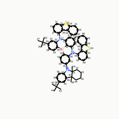 Cc1cc2c3c(c1)N(c1cccc4sc5ccccc5c14)c1cc(C(C)(C)C)ccc1B3c1ccc(N3c4ccc(C(C)(C)C)cc4C4(C)CCCCC34C)cc1N2c1cccc2sc3ccccc3c12